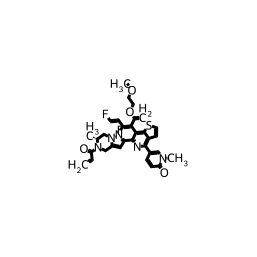 C=CC(=O)N1Cc2cc(-c3nc(-c4ccc(=O)n(C)c4)c4ccsc4c3/C(C(=C)OCCOC)=C(F)/C=C/F)nn2C[C@H]1C